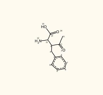 CC(=O)C(Cc1ccccc1)C(N)C(=O)O